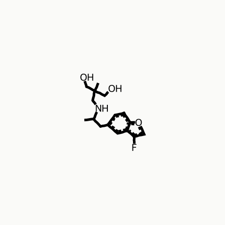 CC(Cc1ccc2occ(F)c2c1)NCC(C)(CO)CO